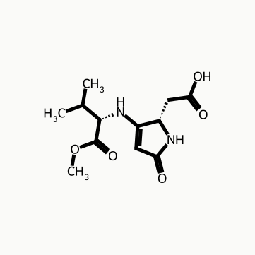 COC(=O)[C@@H](NC1=CC(=O)N[C@H]1CC(=O)O)C(C)C